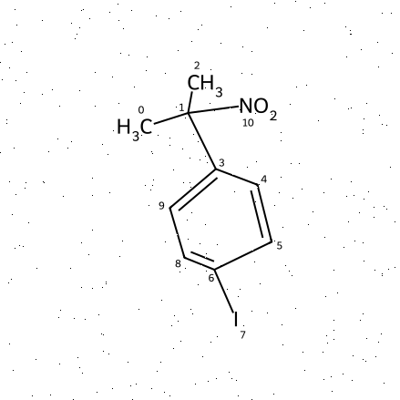 CC(C)(c1ccc(I)cc1)[N+](=O)[O-]